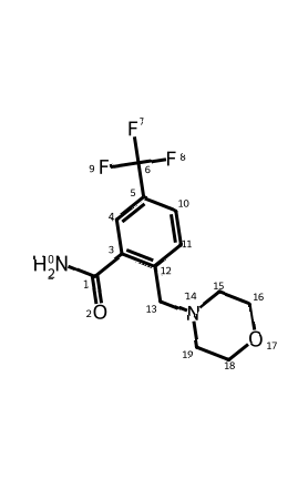 NC(=O)c1cc(C(F)(F)F)ccc1CN1CCOCC1